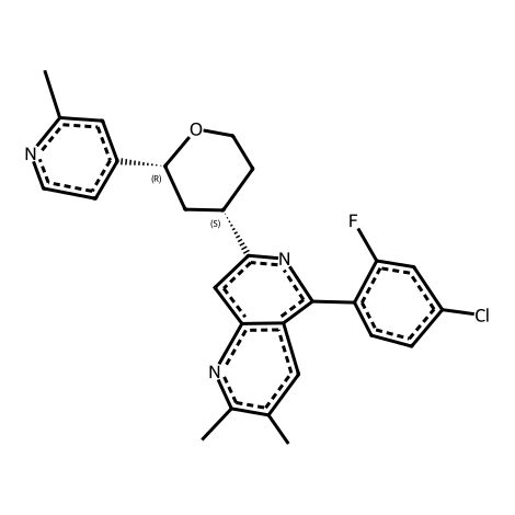 Cc1cc([C@H]2C[C@@H](c3cc4nc(C)c(C)cc4c(-c4ccc(Cl)cc4F)n3)CCO2)ccn1